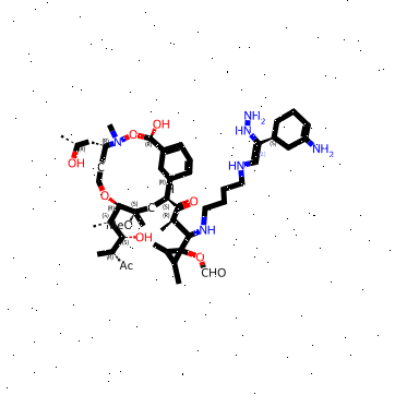 CO[C@@]1(C)C[C@H](C(=O)[C@H](C)C(NCCCCN/C=C(\NN)[C@H]2CCC=C(N)C2)C2(OC=O)C(C)C2C)[C@H]2C=CC=C(C2)[C@H](O)ON(C)[C@@H](C[C@@H](C)O)CCO[C@@H]1[C@@H](C)[C@H](O)[C@@H](C)C(C)=O